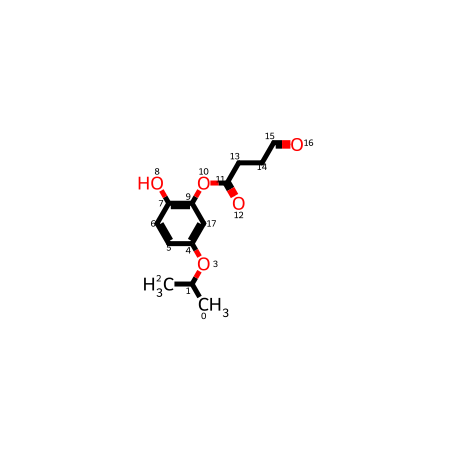 CC(C)Oc1ccc(O)c(OC(=O)CCC=O)c1